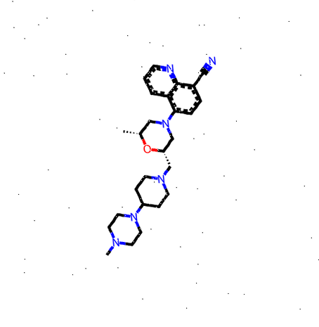 C[C@@H]1CN(c2ccc(C#N)c3ncccc23)C[C@H](CN2CCC(N3CCN(C)CC3)CC2)O1